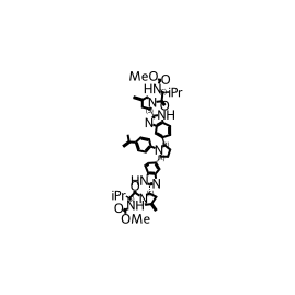 C=C1C[C@@H](c2nc3cc([C@H]4CC[C@H](c5ccc6[nH]c([C@@H]7CC(=C)CN7C(=O)[C@@H](NC(=O)OC)C(C)C)nc6c5)N4c4ccc(C(=C)C)cc4)ccc3[nH]2)N(C(=O)[C@@H](NC(=O)OC)C(C)C)C1